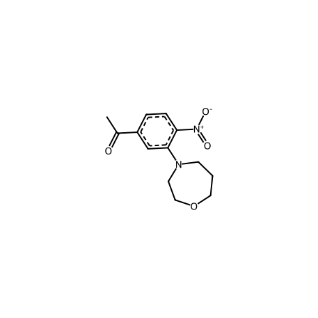 CC(=O)c1ccc([N+](=O)[O-])c(N2CCCOCC2)c1